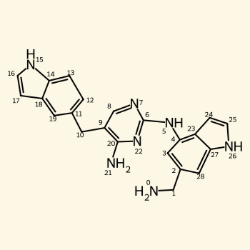 NCc1cc(Nc2ncc(Cc3ccc4[nH]ccc4c3)c(N)n2)c2cc[nH]c2c1